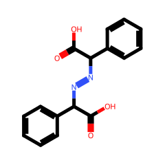 O=C(O)C(N=NC(C(=O)O)c1ccccc1)c1ccccc1